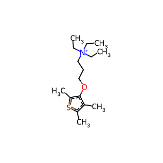 CC[N+](CC)(CC)CCCOc1c(C)sc(C)c1C